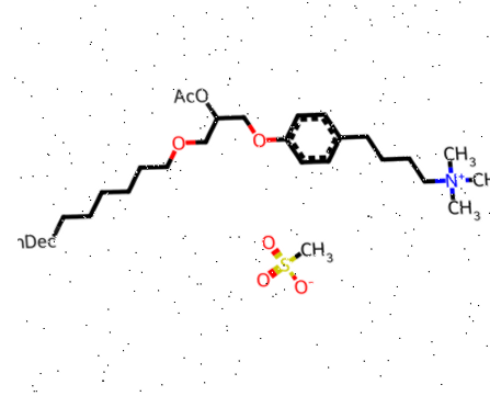 CCCCCCCCCCCCCCCCOCC(COc1ccc(CCCC[N+](C)(C)C)cc1)OC(C)=O.CS(=O)(=O)[O-]